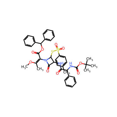 CO/C(C)=C(\C(=O)OC(c1ccccc1)c1ccccc1)N1C(=O)C(NC(=O)C(NC(=O)OC(C)(C)C)c2ccccc2)C1SS(=O)(=O)c1ccc(C)cc1